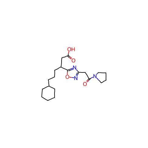 O=C(O)CC(CCCC1CCCCC1)c1nc(CC(=O)N2CCCC2)no1